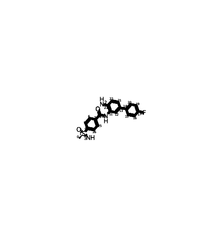 C[S@@](=N)(=O)c1ccc(C(=O)Nc2cc(-c3ccc(F)cc3)ccc2N)cc1